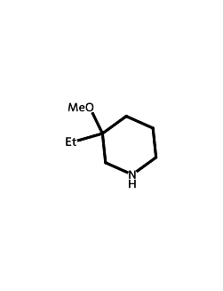 CCC1(OC)CCCNC1